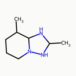 CC1NC2C(C)CCCN2N1